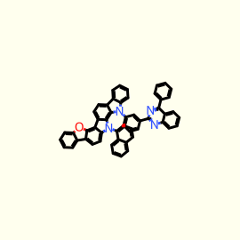 c1ccc(-c2nc(-c3cccc(-n4c5ccccc5c5ccc6c7c8oc9ccccc9c8ccc7n(-c7cccc8ccccc78)c6c54)c3)nc3ccccc23)cc1